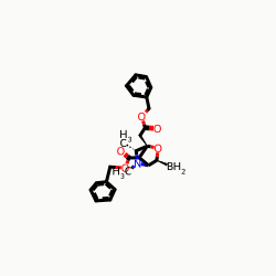 B[C@@H]1O[C@]2(CC(=O)OCc3ccccc3)C(C(=O)OCc3ccccc3)C1N(C)[C@@H]2C